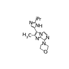 Cc1nc2c(N3CCOCC3)nccn2c1-c1cnc(C(C)C)[nH]1